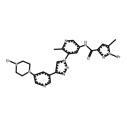 CCN1CCN(c2cncc(-c3cn(-c4cc(NC(=O)c5cc(C)n(C(C)C)n5)cnc4C)nn3)c2)CC1